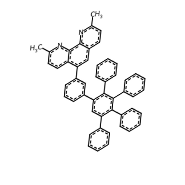 Cc1ccc2cc(-c3cccc(-c4cc(-c5ccccc5)c(-c5ccccc5)c(-c5ccccc5)c4-c4ccccc4)c3)c3ccc(C)nc3c2n1